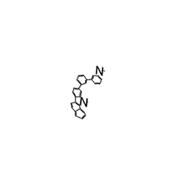 CN(C)c1cccc(-c2cccc(-c3ccc4c5ccc6ccccc6c5n(C)c4c3)c2)c1